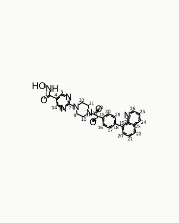 O=C(NO)c1cnc(N2CCN(S(=O)(=O)c3ccc(-c4cccc5cccnc45)cc3)CC2)nc1